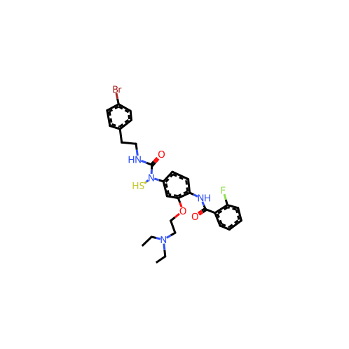 CCN(CC)CCOc1cc(N(S)C(=O)NCCc2ccc(Br)cc2)ccc1NC(=O)c1ccccc1F